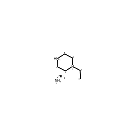 CCN1CCNCC1.N.N